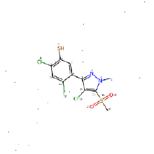 Cn1nc(-c2cc(S)c(Cl)cc2F)c(Cl)c1S(C)(=O)=O